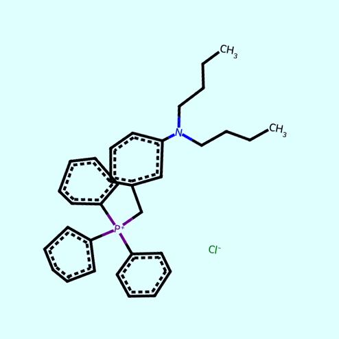 CCCCN(CCCC)c1cccc(C[P+](c2ccccc2)(c2ccccc2)c2ccccc2)c1.[Cl-]